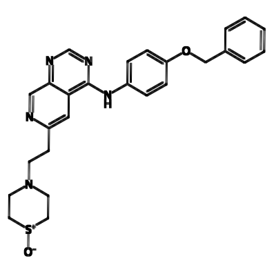 [O-][S+]1CCN(CCc2cc3c(Nc4ccc(OCc5ccccc5)cc4)ncnc3cn2)CC1